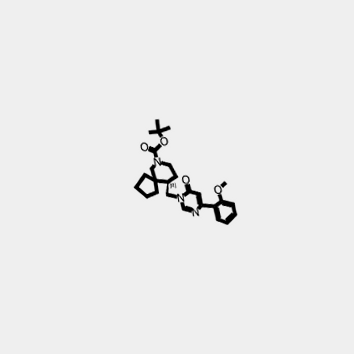 COc1ccccc1-c1cc(=O)n(C[C@@H]2CCN(C(=O)OC(C)(C)C)CC23CCCC3)cn1